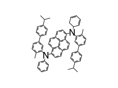 Cc1ccc(-c2ccc(C(C)C)cc2)cc1N(c1ccccc1)c1ccc2ccc3c(N(c4cc(-c5ccc(C(C)C)cc5)ccc4C)C4C=CC=CC4)ccc4ccc1c2c43